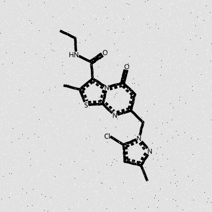 CCNC(=O)c1c(C)sc2nc(Cn3nc(C)cc3Cl)cc(=O)n12